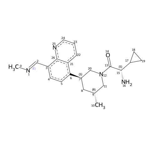 C/N=C/c1ccc([C@@H]2C[C@@H](C)CN(C(=O)[C@@H](N)C3CC3)C2)c2cccnc12